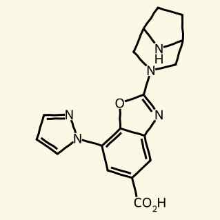 O=C(O)c1cc(-n2cccn2)c2oc(N3CC4CCC(C3)N4)nc2c1